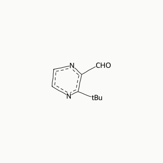 CC(C)(C)c1nccnc1C=O